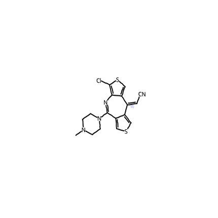 CN1CCN(C2=Nc3c(csc3Cl)/C(=C\C#N)c3cscc32)CC1